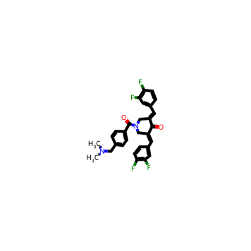 CN(C)Cc1ccc(C(=O)N2CC(=Cc3ccc(F)c(F)c3)C(=O)C(=Cc3ccc(F)c(F)c3)C2)cc1